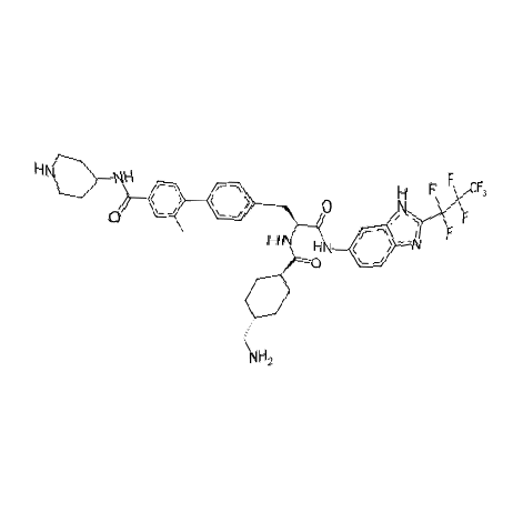 Cc1cc(C(=O)NC2CCNCC2)ccc1-c1ccc(C[C@H](NC(=O)[C@H]2CC[C@H](CN)CC2)C(=O)Nc2ccc3nc(C(F)(F)C(F)(F)C(F)(F)F)[nH]c3c2)cc1